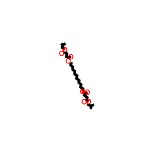 CC(C)COC(=O)CCC(=O)OCCCCCCCCCCCCCOC(=O)CCC(=O)OCC(C)C